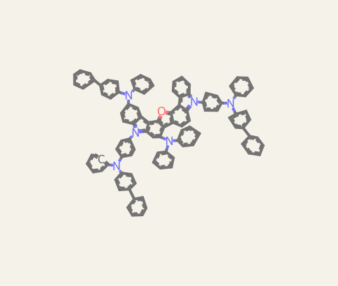 c1ccc(-c2ccc(N(c3ccccc3)c3ccc(-n4c5ccccc5c5c6oc7c(c(N(c8ccccc8)c8ccccc8)cc8c7c7cc(N(c9ccccc9)c9ccc(-c%10ccccc%10)cc9)ccc7n8-c7ccc(N(c8ccccc8)c8ccc(-c9ccccc9)cc8)cc7)c6ccc54)cc3)cc2)cc1